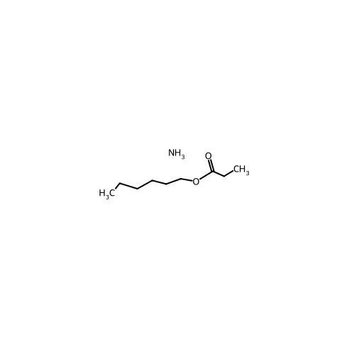 CCCCCCOC(=O)CC.N